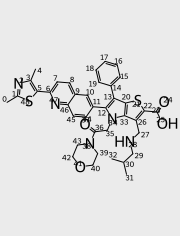 Cc1nc(C)c(-c2ccc3cc(-c4c(-c5ccccc5)c5sc(C(=O)O)c(CNCC(C)C)c5n4CC(=O)N4CCOCC4)ccc3n2)s1